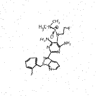 CN(C)S(=O)(=O)N(CCF)c1c(N)nc(-c2nn(Cc3ccccc3F)c3ncccc23)nc1N